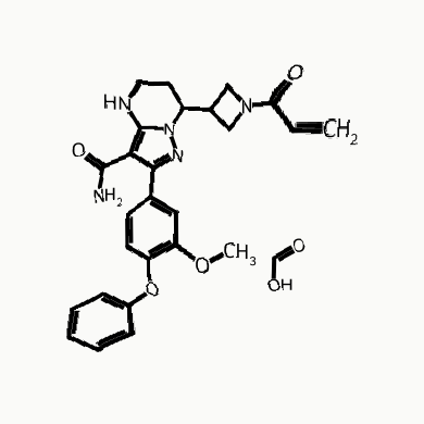 C=CC(=O)N1CC(C2CCNc3c(C(N)=O)c(-c4ccc(Oc5ccccc5)c(OC)c4)nn32)C1.O=CO